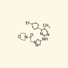 CCc1ccc(-c2nc(Nc3cnn(CC(=O)N4CCOCC4)c3)ncc2C)cc1